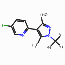 [2H]C([2H])([2H])n1nc(C=O)c(-c2ccc(F)cn2)c1C